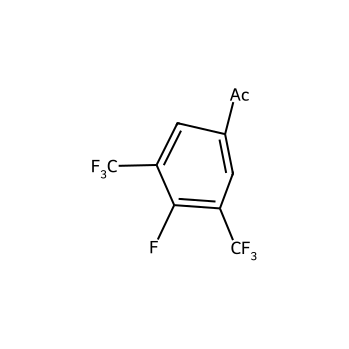 CC(=O)c1cc(C(F)(F)F)c(F)c(C(F)(F)F)c1